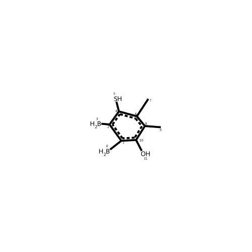 Bc1c(B)c(S)c(C)c(C)c1O